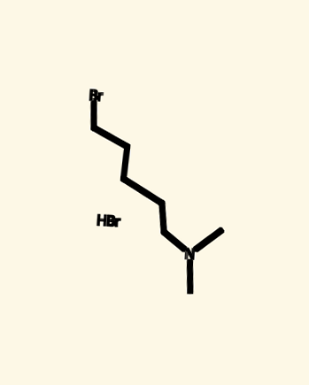 Br.CN(C)CCCCCBr